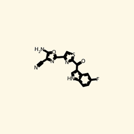 N#Cc1nc(-c2csc(C(=O)c3c[nH]c4ccc(F)cc34)n2)oc1N